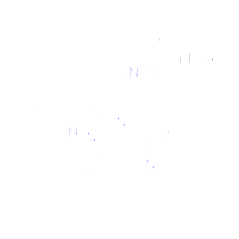 CCCCCCC(=O)O/N=C(\Cn1c2c(c(=O)n3nc(-c4ccccc4)cc13)CN(C1CCCCC1)C2=O)c1ccccc1